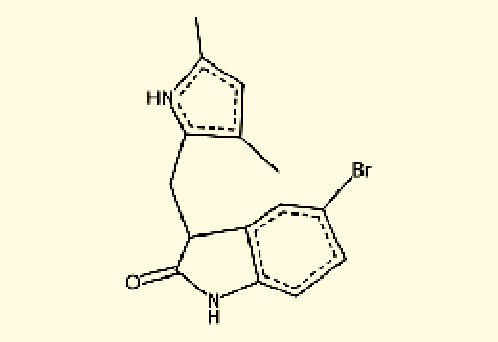 Cc1cc(C)c(CC2C(=O)Nc3ccc(Br)cc32)[nH]1